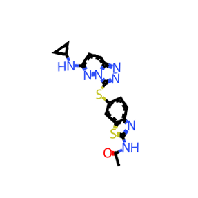 CC(=O)Nc1nc2ccc(Sc3nnc4ccc(NC5CC5)nn34)cc2s1